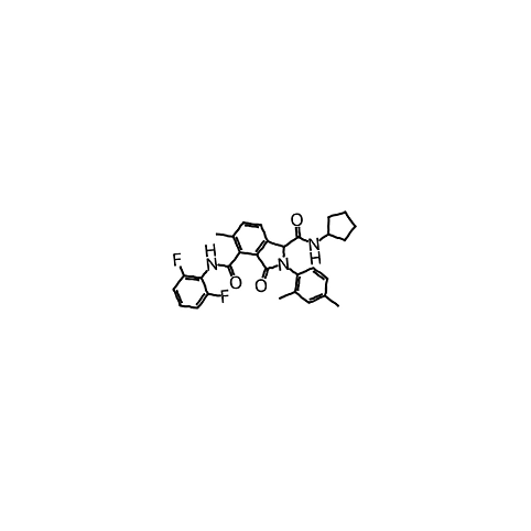 Cc1ccc(N2C(=O)c3c(ccc(C)c3C(=O)Nc3c(F)cccc3F)C2C(=O)NC2CCCC2)c(C)c1